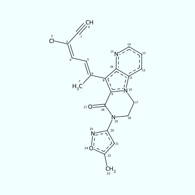 C#C/C(Cl)=C\C=C(/C)c1c2n(c3cccnc13)CCN(c1cc(C)on1)C2=O